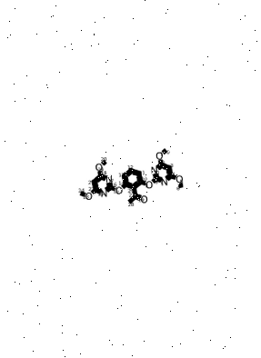 COc1cc(OC)nc(Oc2cccc(Oc3nc(OC)cc(OC)n3)c2C(C)=O)n1